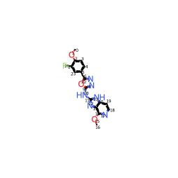 COc1ccc(-c2nnc(Nc3nc4c(OC)nccc4[nH]3)o2)cc1F